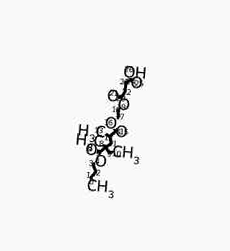 CCCCOC(=O)C(C)(CC)CC(C)C(=O)OCCOC(=O)CCC(=O)O